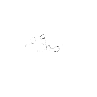 CCN1CCN(Cc2csc(NC(=O)c3cc(-c4cccc(C(F)(F)F)c4)oc3C)n2)CC1